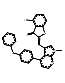 Cn1cc(C=C2Oc3cccc(O)c3C2=O)c2c(-c3ccc(Oc4ccccc4)cc3)ccnc21